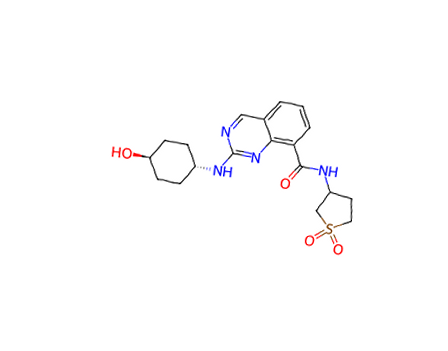 O=C(NC1CCS(=O)(=O)C1)c1cccc2cnc(N[C@H]3CC[C@H](O)CC3)nc12